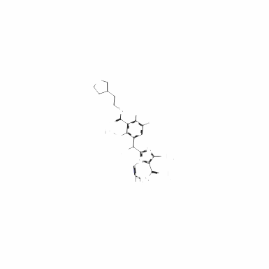 C=C(N)c1c(C)nc(C(C)c2cc(Cl)c(F)c(C(=O)NCCC3CCOC3)c2OC(C)C)n1/C=C\C